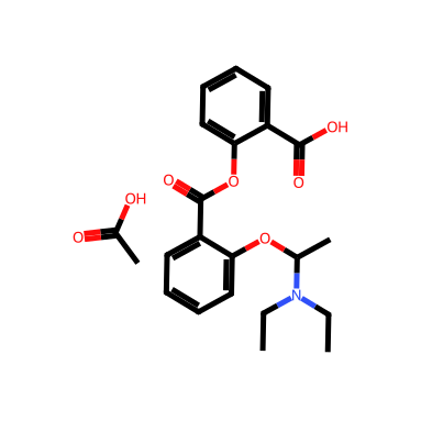 CC(=O)O.CCN(CC)C(C)Oc1ccccc1C(=O)Oc1ccccc1C(=O)O